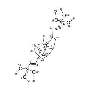 CO[Si](/C=C/C12CC3C4CC5(/C=C/[Si](OC)(OC)OC)CC3C(C1)C(C5)C4C2)(OC)OC